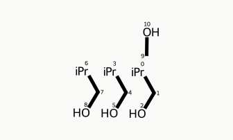 CC(C)CO.CC(C)CO.CC(C)CO.CO